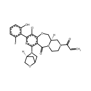 C=CC(=O)N1CCN2C(=O)c3c(N4CC5C[C@H]4CO5)nc(-c4c(O)cccc4F)c(Cl)c3OC[C@H]2C1